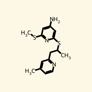 CSc1cc(N)cc(SC(C)Cc2cc(C)ccn2)n1